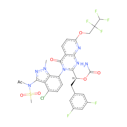 CC(=O)N(c1nn(C)c2c(-n3c([C@H](Cc4cc(F)cc(F)c4)OC(N)=O)nc4nc(OCC(F)(F)C(F)F)ccc4c3=O)ccc(Cl)c12)S(C)(=O)=O